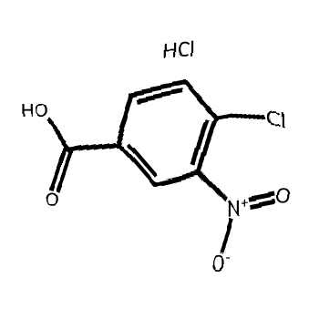 Cl.O=C(O)c1ccc(Cl)c([N+](=O)[O-])c1